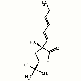 CC/C=C/C=C/[C@@]1(C)S[C@H](C(C)(C)C)OC1=O